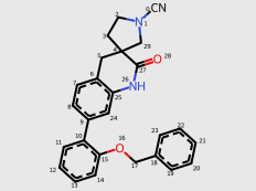 N#CN1CCC2(Cc3ccc(-c4ccccc4OCc4ccccc4)cc3NC2=O)C1